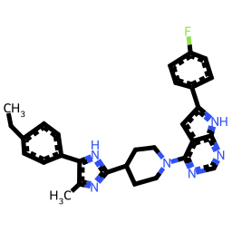 CCc1ccc(-c2[nH]c(C3CCN(c4ncnc5[nH]c(-c6ccc(F)cc6)cc45)CC3)nc2C)cc1